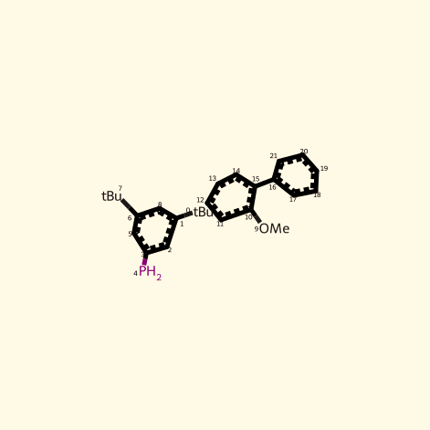 CC(C)(C)c1cc(P)cc(C(C)(C)C)c1.COc1ccccc1-c1ccccc1